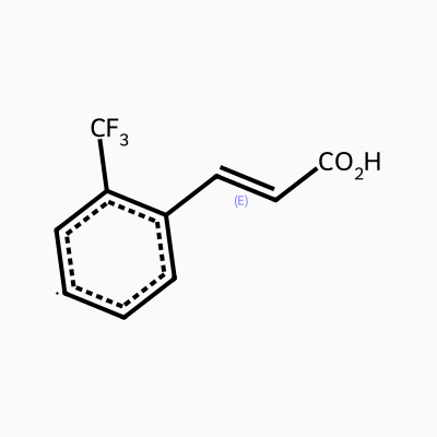 O=C(O)/C=C/c1cc[c]cc1C(F)(F)F